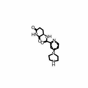 O=C1CC[C@@H](NC(=O)c2cc(N3CCNCC3)ccn2)C(=O)N1